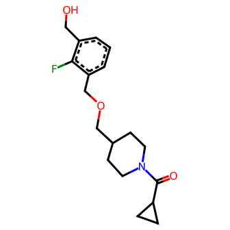 O=C(C1CC1)N1CCC(COCc2cccc(CO)c2F)CC1